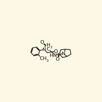 CCOC(=O)N1C2CCC1CC(NCCN(C=O)c1ccccc1C)C2